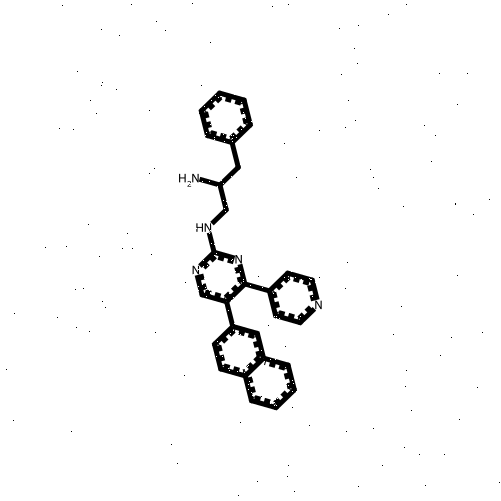 NC(CNc1ncc(-c2ccc3ccccc3c2)c(-c2ccncc2)n1)Cc1ccccc1